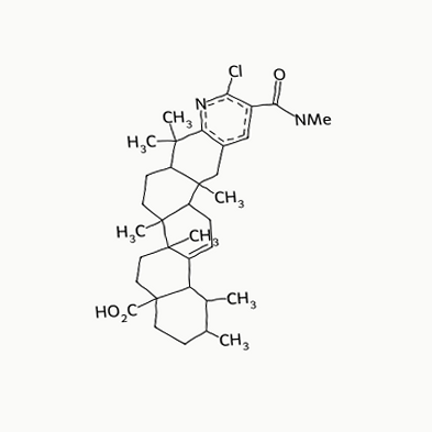 CNC(=O)c1cc2c(nc1Cl)C(C)(C)C1CCC3(C)C(CC=C4C5C(C)C(C)CCC5(C(=O)O)CCC43C)C1(C)C2